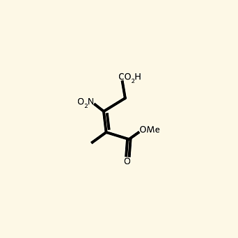 COC(=O)C(C)=C(CC(=O)O)[N+](=O)[O-]